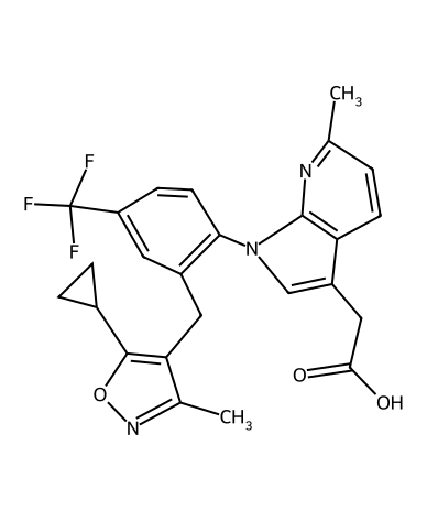 Cc1ccc2c(CC(=O)O)cn(-c3ccc(C(F)(F)F)cc3Cc3c(C)noc3C3CC3)c2n1